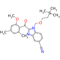 COc1cc(C)cc(C)c1C(=O)c1nc2cc(C#N)ccc2n1COCC[Si](C)(C)C